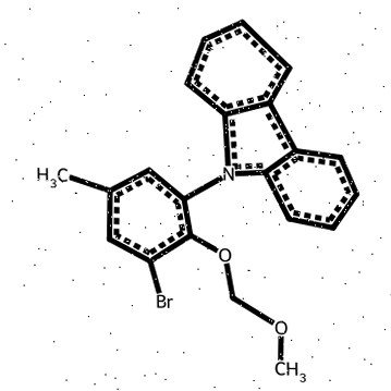 COCOc1c(Br)cc(C)cc1-n1c2ccccc2c2ccccc21